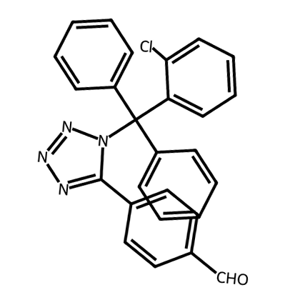 O=Cc1ccc(-c2nnnn2C(c2ccccc2)(c2ccccc2)c2ccccc2Cl)cc1